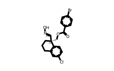 O=C(OC[C@@]1(/C=N/O)CCCc2cc(Cl)ccc21)c1ccc(Br)cc1